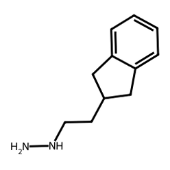 NNCCC1Cc2ccccc2C1